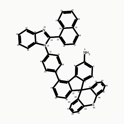 Nc1ccc2c(c1)-c1c(-c3ccc(-n4c(-c5cccc6ccccc56)nc5ccccc54)cc3)cccc1C21c2ccccc2Sc2ccccc21